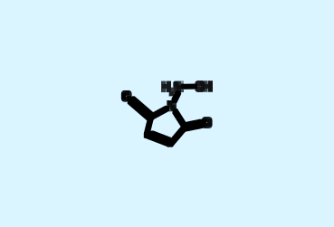 O=C1C=CC(=O)N1[SiH2]O